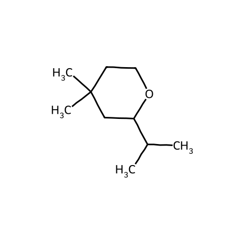 CC(C)C1CC(C)(C)CCO1